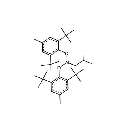 Cc1cc(C(C)(C)C)c([O][Al]([CH2]C(C)C)[O]c2c(C(C)(C)C)cc(C)cc2C(C)(C)C)c(C(C)(C)C)c1